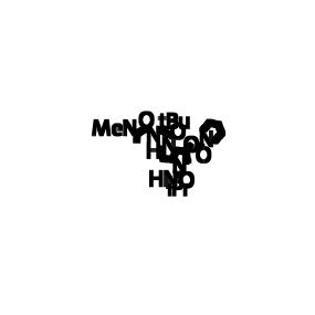 CNC(C)C(=O)NC(C(=O)N1CCC2C1C(OC(=O)N1CCCCC1)CN2C(=O)NC(C)C)C(C)(C)C